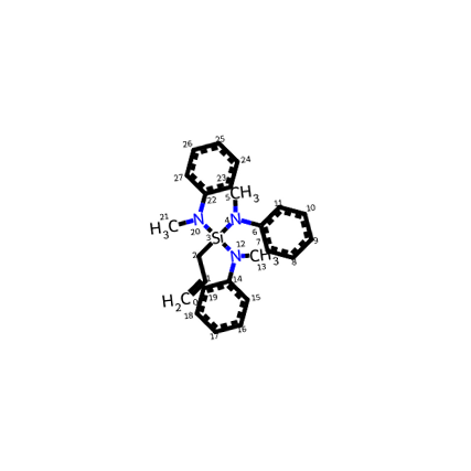 C=CC[Si](N(C)c1ccccc1)(N(C)c1ccccc1)N(C)c1ccccc1